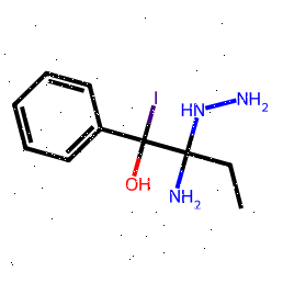 CCC(N)(NN)C(O)(I)c1ccccc1